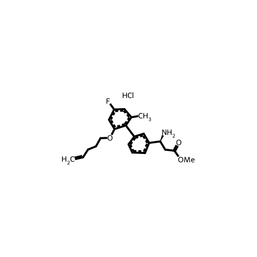 C=CCCCOc1cc(F)cc(C)c1-c1cccc([C@@H](N)CC(=O)OC)c1.Cl